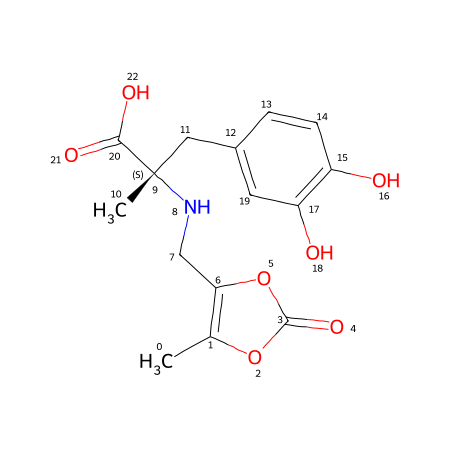 Cc1oc(=O)oc1CN[C@@](C)(Cc1ccc(O)c(O)c1)C(=O)O